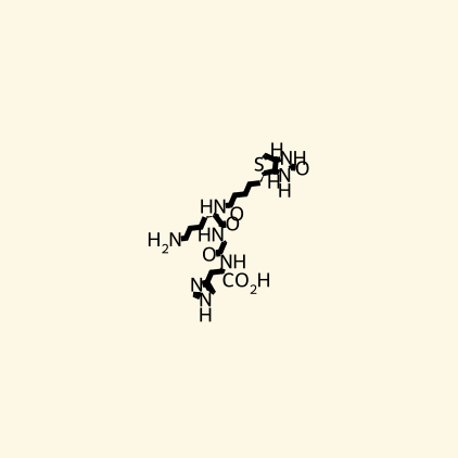 NCCCC[C@H](NC(=O)CCCC[C@@H]1SC[C@@H]2NC(=O)N[C@@H]21)C(=O)NCC(=O)N[C@@H](Cc1c[nH]cn1)C(=O)O